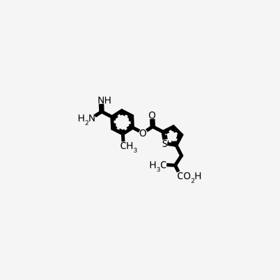 Cc1cc(C(=N)N)ccc1OC(=O)c1ccc(CC(C)C(=O)O)s1